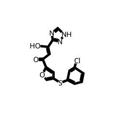 O=C(C=C(O)c1nc[nH]n1)c1cc(Sc2cccc(Cl)c2)co1